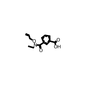 C=CCON(CC)C(=O)c1cccc(C(=O)O)c1